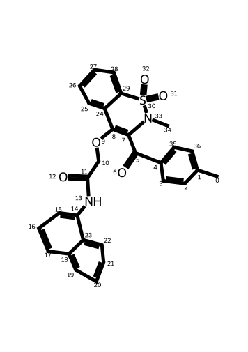 Cc1ccc(C(=O)C2=C(OCC(=O)Nc3cccc4ccccc34)c3ccccc3S(=O)(=O)N2C)cc1